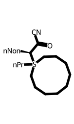 CCCCCCCCC[C@@H](C(=O)C#N)S1(CCC)CCCCCCCCC1